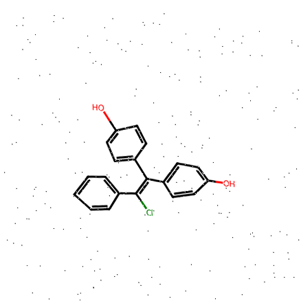 Oc1ccc(C(=C(Cl)c2ccccc2)c2ccc(O)cc2)cc1